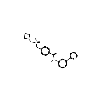 CP(=O)(Cc1ccc(C(=O)N(N)c2cccc(-c3cccs3)c2)cc1)OC1CCC1